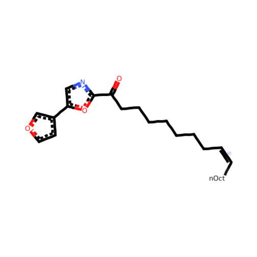 CCCCCCCC/C=C\CCCCCCCC(=O)c1ncc(-c2ccoc2)o1